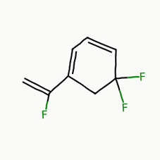 C=C(F)C1=CC=CC(F)(F)C1